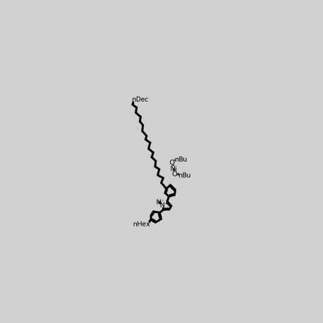 CCCCCCCCCCCCCCCCCCCCCCCCCCCCCc1cccc(C2=CC=C(c3ccc(CCCCCC)cc3)[N+]2=[N-])c1.CCCC[O][Ni][O]CCCC